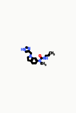 C=CCNC(=O)N(C)c1ccc2c(c1)N(Cc1c[nH]cn1)CC2